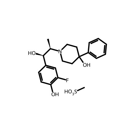 CS(=O)(=O)O.C[C@H]([C@H](O)c1ccc(O)c(F)c1)N1CCC(O)(c2ccccc2)CC1